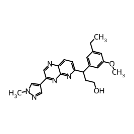 CCc1cc(OC)cc(C(CCO)c2ccc3ncc(-c4cnn(C)c4)nc3n2)c1